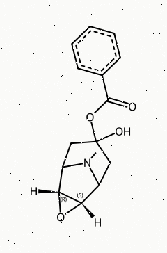 CN1C2CC(O)(OC(=O)c3ccccc3)CC1[C@@H]1O[C@H]21